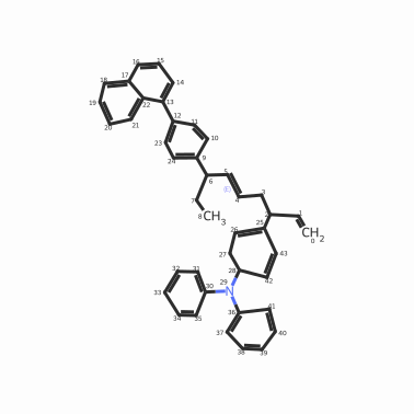 C=CC(C/C=C/C(CC)c1ccc(-c2cccc3ccccc23)cc1)C1=CCC(N(c2ccccc2)c2ccccc2)C=C1